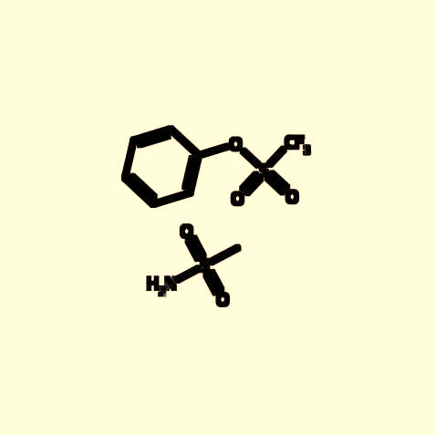 CS(N)(=O)=O.O=S(=O)(Oc1ccccc1)C(F)(F)F